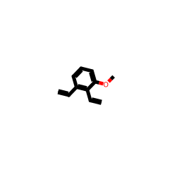 C=[C]c1cccc(OC)c1C=C